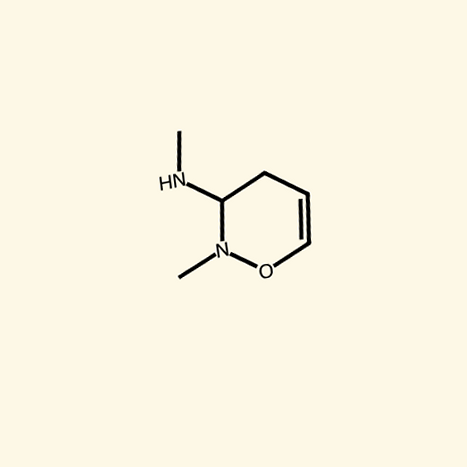 CNC1CC=CON1C